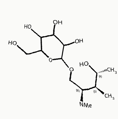 CN[C@@H](COC1OC(CO)C(O)C(O)C1O)[C@H](C)[C@@H](C)O